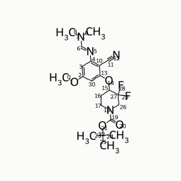 COc1cc(/N=C/N(C)C)c(C#N)c(OC2CCN(C(=O)OC(C)(C)C)CC2(F)F)c1